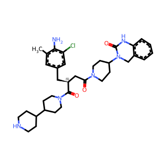 Cc1cc(C[C@@H](CC(=O)N2CCC(N3Cc4ccccc4NC3=O)CC2)C(=O)N2CCC(C3CCNCC3)CC2)cc(Cl)c1N